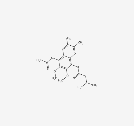 COc1c(OC)c(OC(=O)CC(C)C)c2cc(C)c(C)cc2c1OC(C)=O